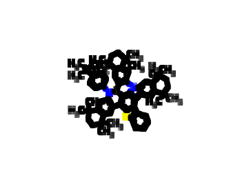 CC(C)(C)c1ccc(N2B3c4cc5c(cc4-n4c6cc7c(cc6c6c8c(sc9ccccc98)c(c3c64)-c3cc4c(cc32)C(C)(C)CCC4(C)C)C(C)(C)CCC7(C)C)C(C)(C)CCC5(C)C)cc1